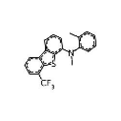 Cc1ccccc1N(I)c1cccc2c1sc1c(C(F)(F)F)cccc12